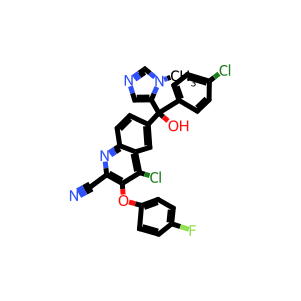 Cn1cncc1C(O)(c1ccc(Cl)cc1)c1ccc2nc(C#N)c(Oc3ccc(F)cc3)c(Cl)c2c1